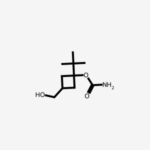 CC(C)(C)C1(OC(N)=O)CC(CO)C1